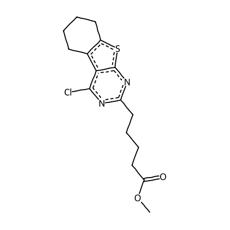 COC(=O)CCCCc1nc(Cl)c2c3c(sc2n1)CCCC3